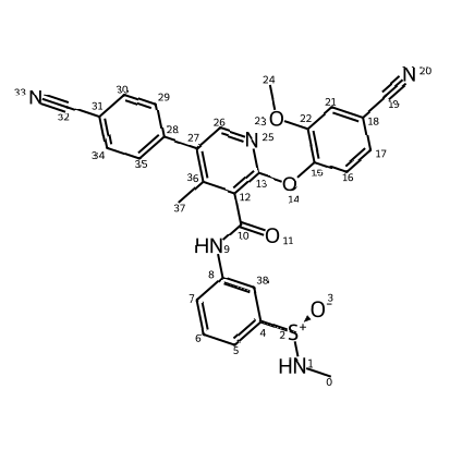 CN[S@+]([O-])c1cccc(NC(=O)c2c(Oc3ccc(C#N)cc3OC)ncc(-c3ccc(C#N)cc3)c2C)c1